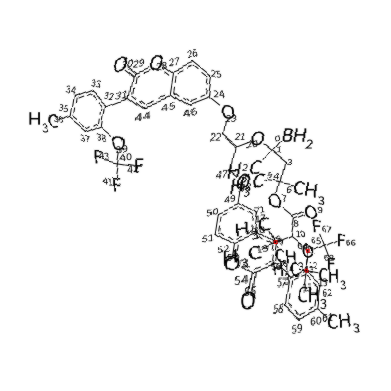 BC(C)(CC(C)(C)OC(=O)C(CC(C)(C)C)C(C)(C)C)OC(COc1ccc2oc(=O)c(-c3ccc(C)cc3OC(F)(F)F)cc2c1)COc1ccc2oc(=O)c(-c3ccc(C)cc3OC(F)(F)F)cc2c1